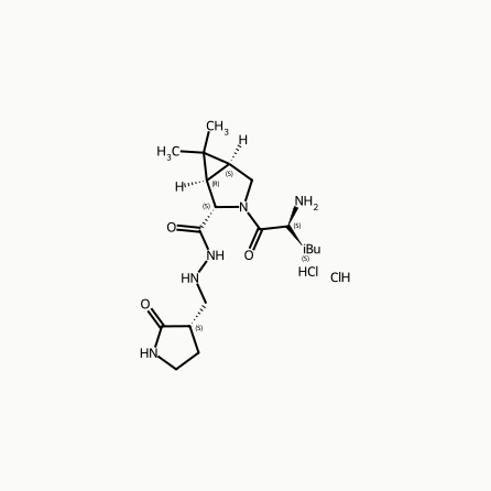 CC[C@H](C)[C@H](N)C(=O)N1C[C@H]2[C@@H]([C@H]1C(=O)NNC[C@@H]1CCNC1=O)C2(C)C.Cl.Cl